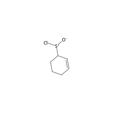 [O-][S+](Cl)C1C=CCCC1